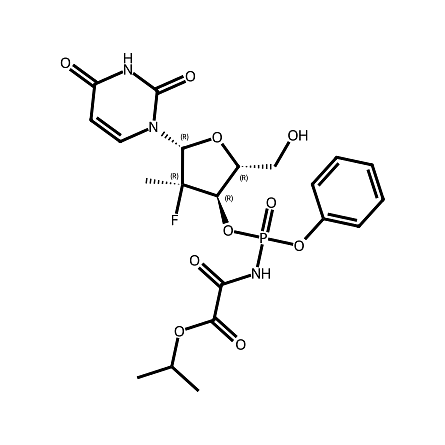 CC(C)OC(=O)C(=O)NP(=O)(Oc1ccccc1)O[C@@H]1[C@@H](CO)O[C@@H](n2ccc(=O)[nH]c2=O)[C@]1(C)F